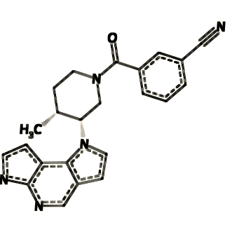 C[C@@H]1CCN(C(=O)c2cccc(C#N)c2)C[C@@H]1n1ccc2cnc3[nH]ccc3c21